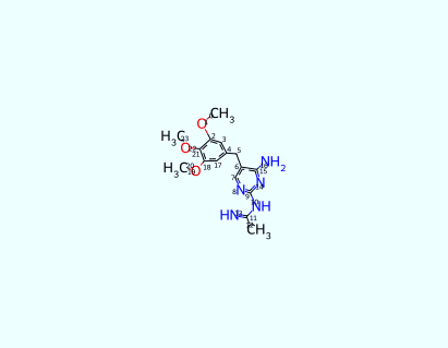 COc1cc(Cc2cnc(NC(C)=N)nc2N)cc(OC)c1OC